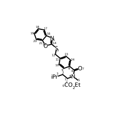 CCOC(=O)[C@H](CC(C)C)N(C)C(=O)c1ccc(CSc2nc3ccccc3o2)cc1